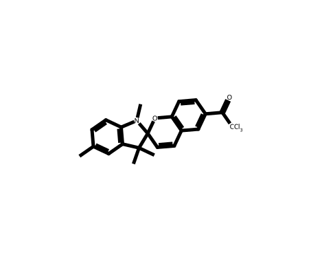 Cc1ccc2c(c1)C(C)(C)C1(C=Cc3cc(C(=O)C(Cl)(Cl)Cl)ccc3O1)N2C